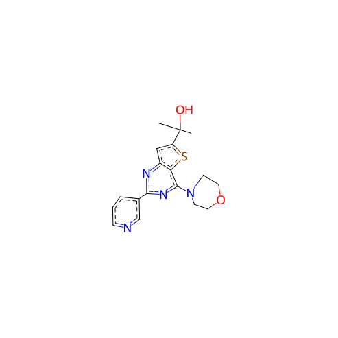 CC(C)(O)c1cc2nc(-c3cccnc3)nc(N3CCOCC3)c2s1